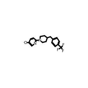 [O]c1ccc(N2CCC(Cc3ccc(C(F)(F)F)cc3)CC2)nc1